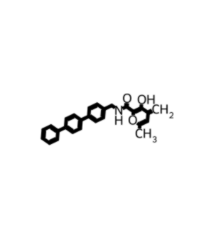 C=C1C=C(C)OC(C(=O)NCc2ccc(-c3ccc(-c4ccccc4)cc3)cc2)=C1O